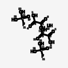 O=C(O)C(=O)O.O=C(O)C(=O)O.O=P(O)(O)F.O=P(O)(O)F.[LiH]